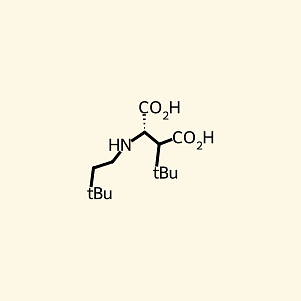 CC(C)(C)CCN[C@H](C(=O)O)C(C(=O)O)C(C)(C)C